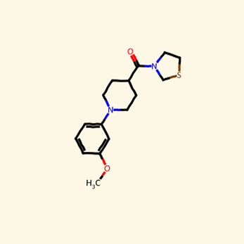 COc1cccc(N2CCC(C(=O)N3CCSC3)CC2)c1